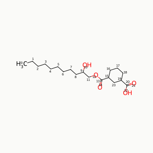 CCCCCCCCCC(O)COC(=O)C1CCCC(C(=O)O)C1